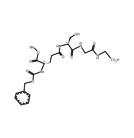 CC(C)(C)OC(=O)[C@H](CCC(=O)N[C@@H](CO)C(=O)NCC(=O)NCC(=O)O)NC(=O)OCc1ccccc1